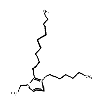 CCCCCCCCCc1n(CC)cc[n+]1CCCCCC